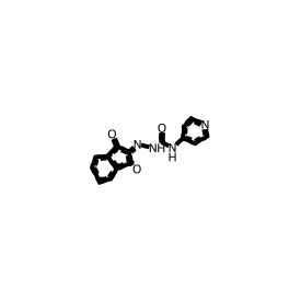 O=C(NN=c1c(=O)c2ccccc2c1=O)Nc1ccncc1